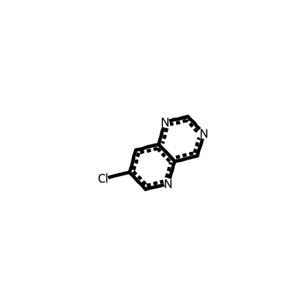 Clc1cnc2cncnc2c1